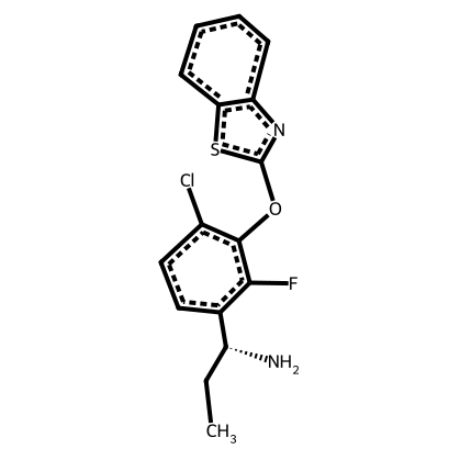 CC[C@@H](N)c1ccc(Cl)c(Oc2nc3ccccc3s2)c1F